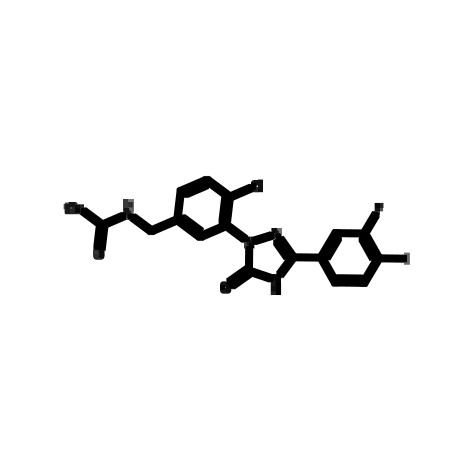 CC(C)(C)C(=O)NCc1ccc(Cl)c(-n2nc(-c3ccc(I)c(F)c3)[nH]c2=O)c1